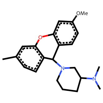 COc1ccc2c(c1)Oc1cc(C)ccc1C2N1CCCC(N(C)C)C1